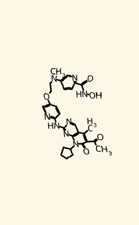 CC(=O)c1c(C)c2cnc(Nc3ccc(OCCN(C)c4ccc(C(=O)NO)nc4)cn3)nc2n(C2CCCC2)c1=O